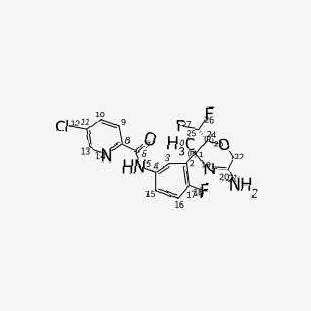 C[C@]1(c2cc(NC(=O)c3ccc(Cl)cn3)ccc2F)N=C(N)CO[C@H]1C(F)F